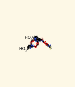 O=C(NCCOCCOCCN=C=S)c1ccc(C(c2cccc(C(=O)O)n2)N2CCOCCOCCN(Cc3cccc(C(=O)O)n3)CCOCCOCC2)cc1